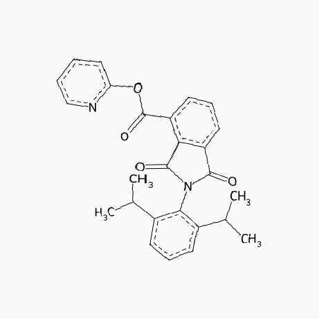 CC(C)c1cccc(C(C)C)c1N1C(=O)c2cccc(C(=O)Oc3ccccn3)c2C1=O